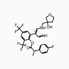 CN(C(=O)Oc1c(/C(C=N)=C/NCC2(O)CCOC2)cc(C(F)(F)F)cc1C(F)(F)F)c1ccc(F)cc1